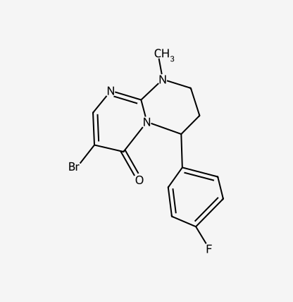 CN1CCC(c2ccc(F)cc2)n2c1ncc(Br)c2=O